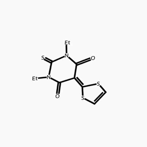 CCN1C(=O)C(=C2SC=CS2)C(=O)N(CC)C1=S